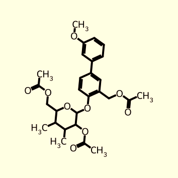 COc1cccc(-c2ccc(OC3OC(COC(C)=O)C(C)C(C)C3OC(C)=O)c(COC(C)=O)c2)c1